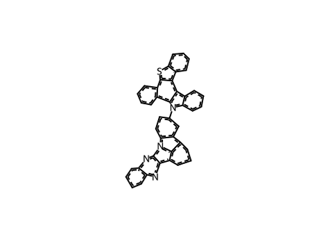 c1ccc2nc3c(nc2c1)c1cccc2c4cc(-n5c6ccccc6c6c7c8ccccc8sc7c7ccccc7c65)ccc4n3c21